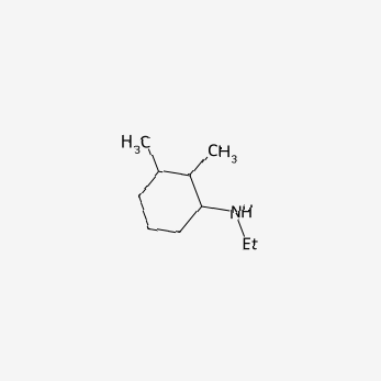 CCNC1CCCC(C)C1C